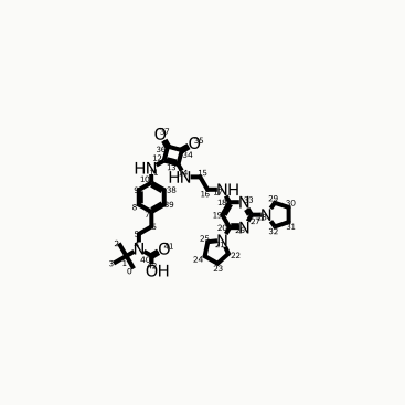 CC(C)(C)N(CCc1ccc(Nc2c(NCCNc3cc(N4CCCC4)nc(N4CCCC4)n3)c(=O)c2=O)cc1)C(=O)O